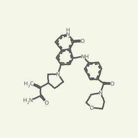 C=C(C(N)=O)C1CCN(c2cc(Nc3ccc(C(=O)N4CCOCC4)cc3)c3c(=O)[nH]ccc3c2)C1